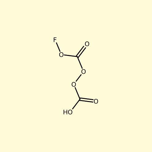 O=C(O)OOC(=O)OF